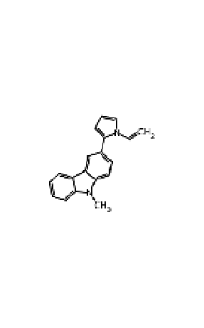 C=Cn1cccc1-c1ccc2c(c1)c1ccccc1n2C